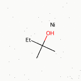 CCC(C)(C)O.[Ni]